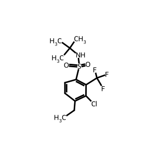 CCc1ccc(S(=O)(=O)NC(C)(C)C)c(C(F)(F)F)c1Cl